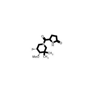 CO[C@@H]1[C@H](F)CN(C(=O)C2CCC(=O)N2)CC1(C)C